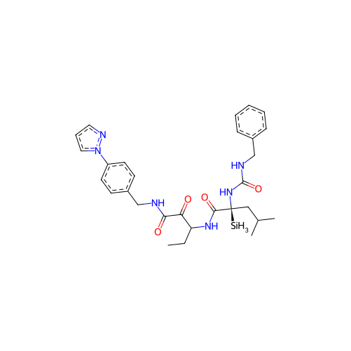 CCC(NC(=O)[C@@]([SiH3])(CC(C)C)NC(=O)NCc1ccccc1)C(=O)C(=O)NCc1ccc(-n2cccn2)cc1